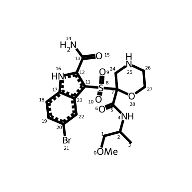 COCC(C)NC(=O)C1(S(=O)(=O)c2c(C(N)=O)[nH]c3ccc(Br)cc23)CNCCO1